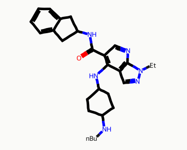 CCCCNC1CCC(Nc2c(C(=O)NC3Cc4ccccc4C3)cnc3c2cnn3CC)CC1